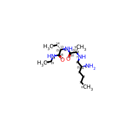 CCCC[C@H](N)CN[C@@H](C)C(=O)N[C@@H](CC)C(=O)NCC